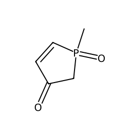 CP1(=O)C=CC(=O)C1